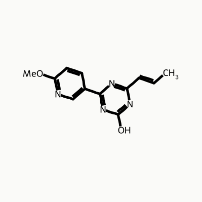 C/C=C/c1nc(O)nc(-c2ccc(OC)nc2)n1